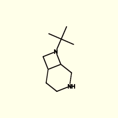 CC(C)(C)N1CC2CCNCC21